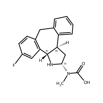 CN(C(=O)O)[C@H]1C[C@@H]2c3ccccc3Cc3ccc(F)cc3[C@H]2N1